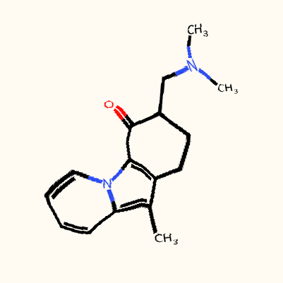 Cc1c2c(n3ccccc13)C(=O)C(CN(C)C)CC2